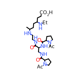 CCNC(CCC(=O)O)CCC(C)NCCNC(=O)C(CNC(=O)C1CCCN1C(C)=O)NC(=O)C1CCCN1C(C)=O